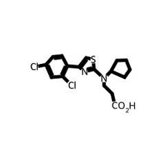 O=C(O)CCN(c1nc(-c2ccc(Cl)cc2Cl)cs1)C1CCCC1